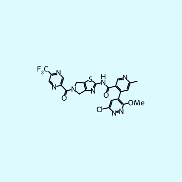 COc1nnc(Cl)cc1-c1cc(C)ncc1C(=O)Nc1nc2c(s1)CN(C(=O)c1cnc(C(F)(F)F)cn1)C2